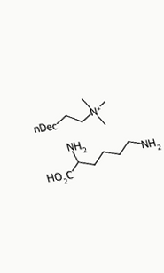 CCCCCCCCCCCC[N+](C)(C)C.NCCCCC(N)C(=O)O